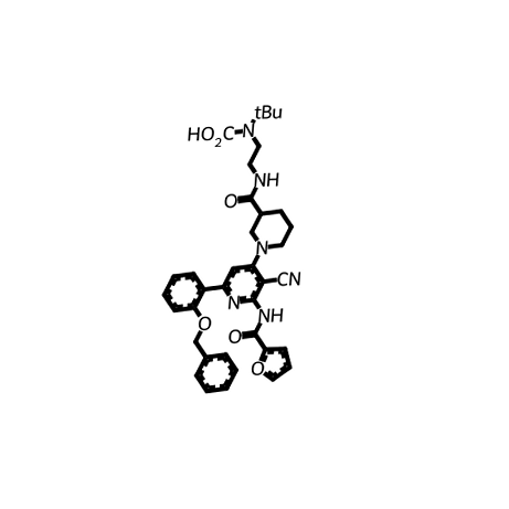 CC(C)(C)N(CCNC(=O)C1CCCN(c2cc(-c3ccccc3OCc3ccccc3)nc(NC(=O)c3ccco3)c2C#N)C1)C(=O)O